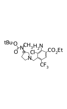 CCOC(=O)c1cc(C(F)(F)F)c(CN2CC[C@@H](N(C)C(=O)OC(C)(C)C)C2)c(Cl)c1N